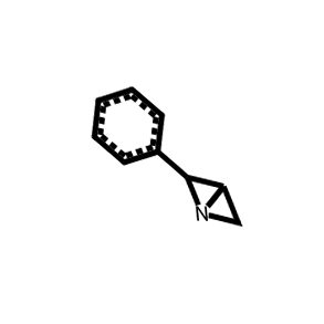 c1ccc(C2C3CN32)cc1